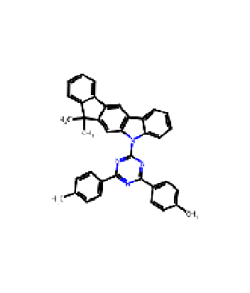 Cc1ccc(-c2nc(-c3ccc(C)cc3)nc(-n3c4ccccc4c4cc5c(cc43)C(C)(C)c3ccccc3-5)n2)cc1